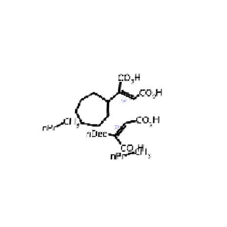 CCCC.CCCC.CCCCCCCCCC/C(=C/C(=O)O)C(=O)O.O=C(O)/C=C(\C(=O)O)C1CCCCCC1